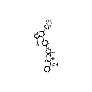 Cn1cc(-c2cc(-c3ccc(N4C[C@@H]5C(NC(=O)[C@H](O)c6ccccc6)[C@@H]5C4)nc3)c3c(C#N)cnn3c2)cn1